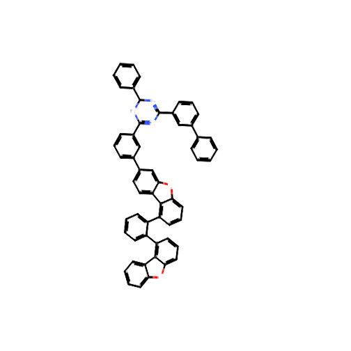 c1ccc(-c2cccc(C3=NC(c4ccccc4)NC(c4cccc(-c5ccc6c(c5)oc5cccc(-c7ccccc7-c7cccc8oc9ccccc9c78)c56)c4)=N3)c2)cc1